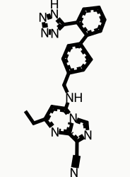 CCc1cc(NCc2ccc(-c3ccccc3-c3nnn[nH]3)cc2)n2cnc(C#N)c2n1